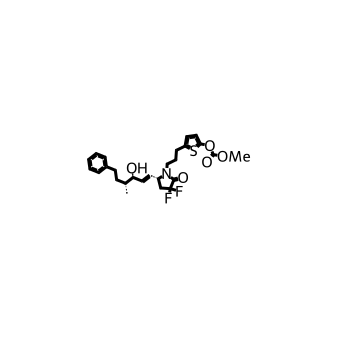 COC(=O)Oc1ccc(CCCN2C(=O)C(F)(F)C[C@@H]2/C=C/[C@@H](O)[C@H](C)CCc2ccccc2)s1